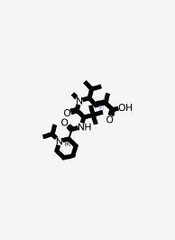 C/C(=C\C(C(C)C)N(C)C(=O)C(NC(=O)[C@H]1CCCCN1C(C)C)C(C)(C)C)C(=O)O